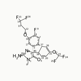 CN1C(=O)[C@](c2ccc(F)c(OCCC(F)F)c2)(C2C=CC(OC(F)F)=CC2)N=C1N